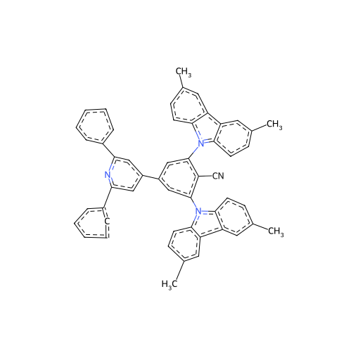 Cc1ccc2c(c1)c1cc(C)ccc1n2-c1cc(-c2cc(-c3ccccc3)nc(-c3ccccc3)c2)cc(-n2c3ccc(C)cc3c3cc(C)ccc32)c1C#N